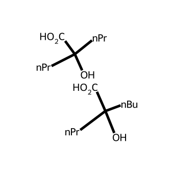 CCCC(O)(CCC)C(=O)O.CCCCC(O)(CCC)C(=O)O